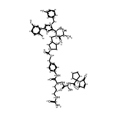 CC(C)[C@H](NC(=O)C1(N2C(=O)C=CC2=O)CCCC1)C(=O)N[C@@H](CCCNC(N)=O)C(=O)Nc1ccc(COC(=O)N2CC(CN(C(=O)[C@H](C)O)[C@@H](c3nc(-c4cc(F)ccc4F)cn3Cc3cccc(F)c3)C(C)(C)C)[C@@H](F)C2)cc1